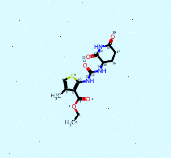 CCOC(=O)c1c(C)csc1NC(=O)NC1CCC(=O)NC1=O